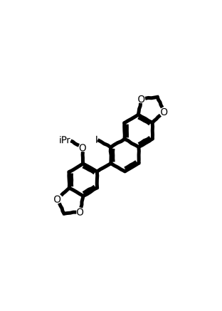 CC(C)Oc1cc2c(cc1-c1ccc3cc4c(cc3c1I)OCO4)OCO2